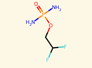 NP(N)(=O)OCC(F)F